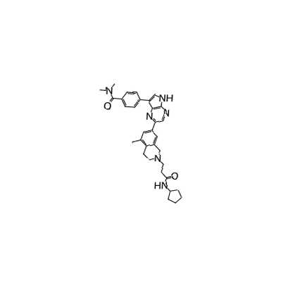 Cc1cc(-c2cnc3[nH]cc(-c4ccc(C(=O)N(C)C)cc4)c3n2)cc2c1CCN(CCC(=O)NC1CCCC1)C2